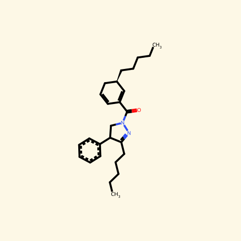 CCCCCC1=NN(C(=O)C2=C[C@H](CCCCC)CC=C2)CC1c1ccccc1